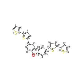 c1csc(-c2ccc(-c3ccc4oc5ccc(-c6ccc(-c7cccs7)s6)cc5c4c3)s2)c1